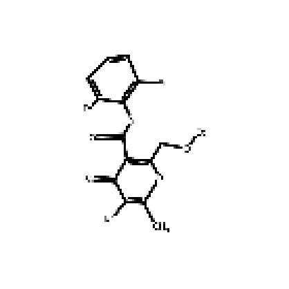 CCOCc1oc(C)c(Br)c(=O)c1C(=O)Nc1c(CC)cccc1CC